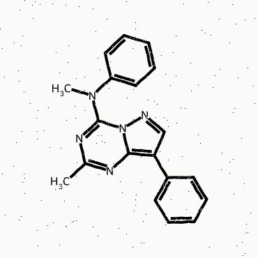 Cc1nc(N(C)c2ccccc2)n2ncc(-c3ccccc3)c2n1